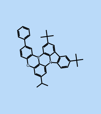 CC(C)c1cc2c3c(c1)-n1c4ccc(C(C)(C)C)cc4c4cc(C(C)(C)C)cc(c41)B3c1cc(-c3ccccc3)ccc1O2